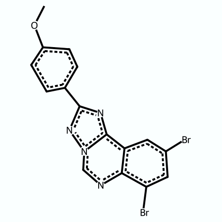 COc1ccc(-c2nc3c4cc(Br)cc(Br)c4ncn3n2)cc1